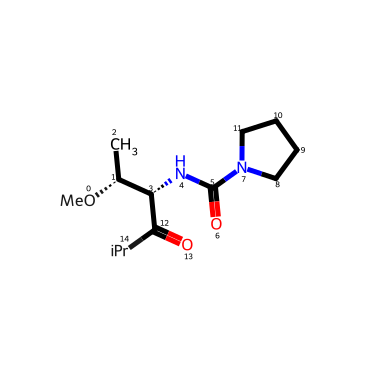 CO[C@H](C)[C@H](NC(=O)N1CCCC1)C(=O)C(C)C